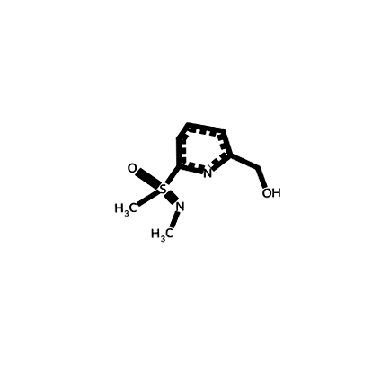 CN=S(C)(=O)c1cccc(CO)n1